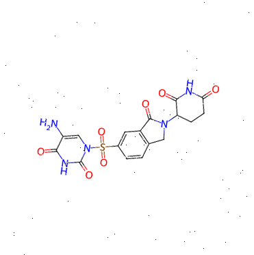 Nc1cn(S(=O)(=O)c2ccc3c(c2)C(=O)N(C2CCC(=O)NC2=O)C3)c(=O)[nH]c1=O